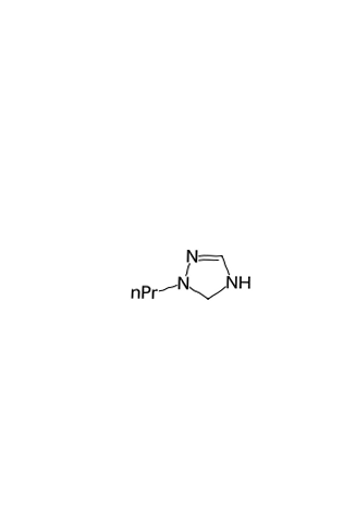 CCCN1CNC=N1